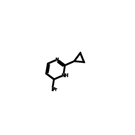 CC(C)C1C=CN=C(C2CC2)N1